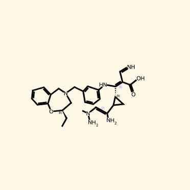 CC[C@@H]1CN(Cc2cccc(N/C(=C(\C=N)C(=O)O)[C@@H]3CC3/C(N)=C/N(C)N)c2)Cc2ccccc2O1